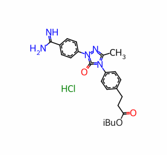 Cc1nn(-c2ccc(C(=N)N)cc2)c(=O)n1-c1ccc(CCC(=O)OCC(C)C)cc1.Cl